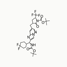 CC(C)(C)OC(=O)N[C@H](c1cn2ncc(CC3C[C@@H](C(F)(F)F)N(C(=O)OC(C)(C)C)C3=O)cc2n1)C1CCC(F)(F)CC1